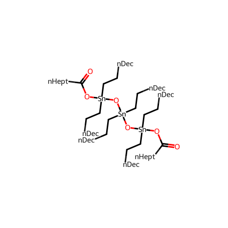 CCCCCCCCCCC[CH2][Sn]([CH2]CCCCCCCCCCC)([O]C(=O)CCCCCCC)[O][Sn]([CH2]CCCCCCCCCCC)([CH2]CCCCCCCCCCC)[O][Sn]([CH2]CCCCCCCCCCC)([CH2]CCCCCCCCCCC)[O]C(=O)CCCCCCC